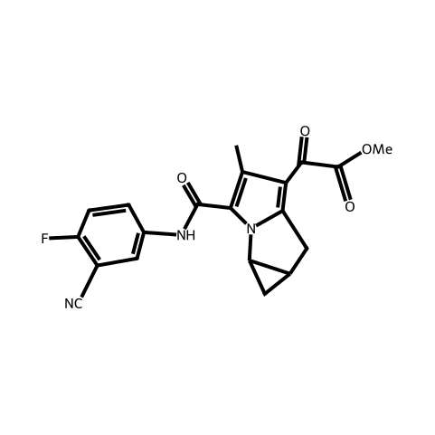 COC(=O)C(=O)c1c(C)c(C(=O)Nc2ccc(F)c(C#N)c2)n2c1CC1CC12